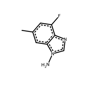 Cc1cc(F)c2ncn(N)c2c1